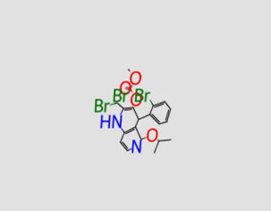 COC(=O)OC1=C(C(Br)Br)Nc2ccnc(OC(C)C)c2C1c1ccccc1Br